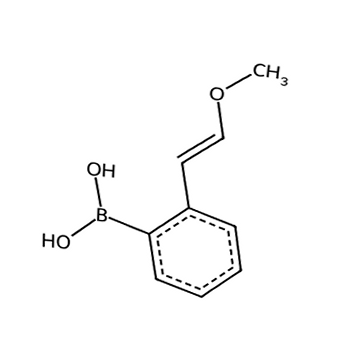 COC=Cc1ccccc1B(O)O